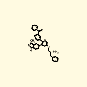 Cc1n[nH]c2ccc(-c3cc(OC[C@H](N)Cc4ccccc4)cnc3-c3cccc(C(=O)c4ccccc4)c3)cc12